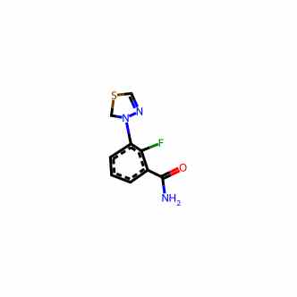 NC(=O)c1cccc(N2CSC=N2)c1F